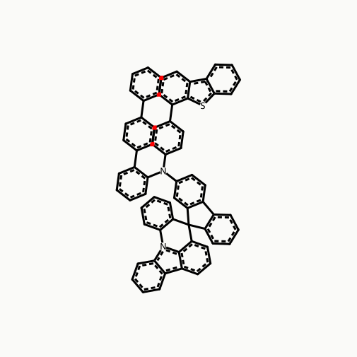 c1ccc(-c2ccc(-c3ccccc3N(c3ccc(-c4cccc5c4sc4ccccc45)cc3)c3ccc4c(c3)C3(c5ccccc5-4)c4ccccc4-n4c5ccccc5c5cccc3c54)cc2)cc1